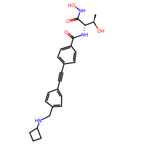 C[C@@H](O)[C@H](NC(=O)c1ccc(C#Cc2ccc(CNC3CCC3)cc2)cc1)C(=O)NO